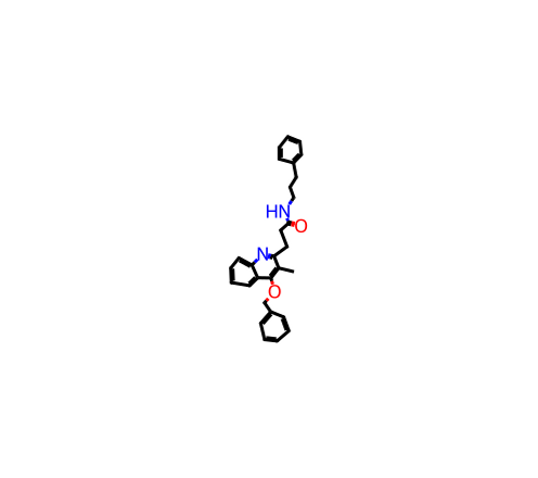 Cc1c(CCC(=O)NCCCc2ccccc2)nc2ccccc2c1OCc1ccccc1